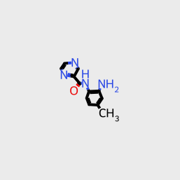 Cc1ccc(NC(=O)c2cnccn2)c(N)c1